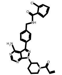 C=CC(=O)N1CCCC(n2nc(-c3ccc(CNC(=O)c4ccccc4Cl)cc3)c3c(N)ncnc32)C1